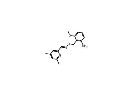 COc1cccc(N)c1CON=Cc1cc(C)cc(C)n1